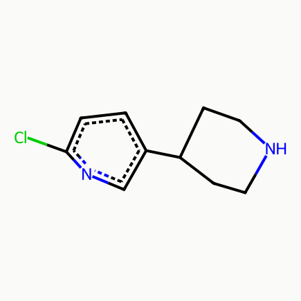 Clc1ccc(C2CCNCC2)cn1